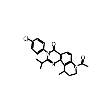 CC(=O)N1CCC(C)c2c1ccc1c(=O)n(-c3ccc(Cl)cc3)c(C(C)C)nc21